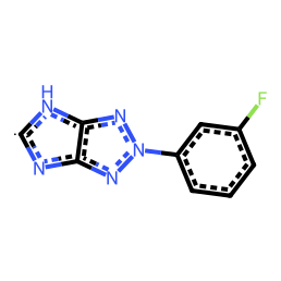 Fc1cccc(-n2nc3n[c][nH]c3n2)c1